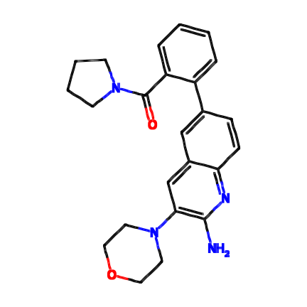 Nc1nc2ccc(-c3ccccc3C(=O)N3CCCC3)cc2cc1N1CCOCC1